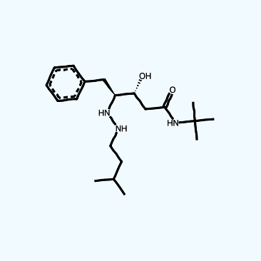 CC(C)CCNN[C@@H](Cc1ccccc1)[C@H](O)CC(=O)NC(C)(C)C